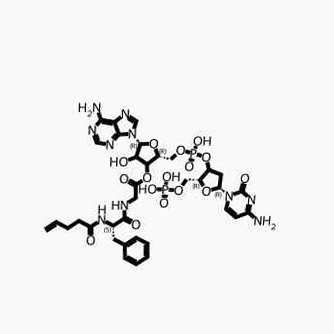 C=CCCC(=O)N[C@@H](Cc1ccccc1)C(=O)NCC(=O)OC1C(O)[C@H](n2cnc3c(N)ncnc32)O[C@@H]1COP(=O)(O)OC1C[C@H](n2ccc(N)nc2=O)O[C@@H]1COP(=O)(O)O